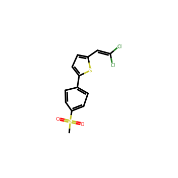 CS(=O)(=O)c1ccc(-c2ccc(C=C(Cl)Cl)s2)cc1